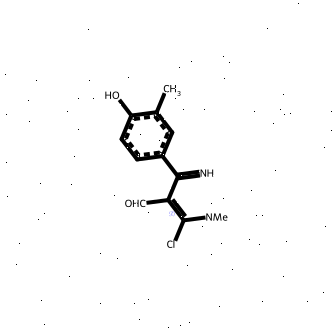 CN/C(Cl)=C(/C=O)C(=N)c1ccc(O)c(C)c1